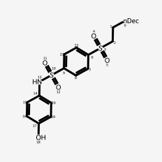 CCCCCCCCCCCCS(=O)(=O)c1ccc(S(=O)(=O)Nc2ccc(O)cc2)cc1